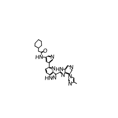 Cc1cn(-c2cncc3[nH]c(-c4n[nH]c5ccc(-c6cncc(NC(=O)CC7CCCCC7)c6)nc45)nc23)cn1